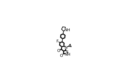 O=c1[nH]sc2c1c(=O)c1cc(F)c(-c3ccc(C4CCCN4)cc3)cc1n2C1CC1